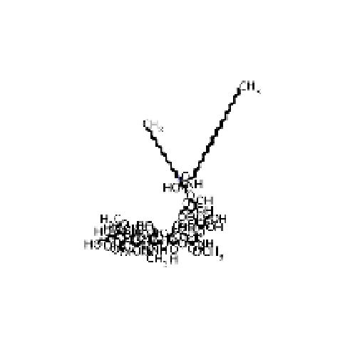 CCCCCCCCCCCCC/C=C/[C@@H](O)[C@H](CO[C@@H]1OC(CO)[C@@H](O[C@@H]2OC(CO)[C@H](O)[C@H](O[C@@H]3OC(CO)[C@@H](O[C@@H]4OC(CO)[C@H](O)[C@H](O[C@@H]5OC(CO)[C@@H](O)[C@H](O[C@@H]6OC(CO)[C@H](O)[C@H](O[C@]7(C(=O)O)CC(O)[C@@H](NC(C)=O)C([C@H](O)[C@H](O)CO)O7)C6O)C5NC(C)=O)C4O)[C@H](O)C3NC(C)=O)C2O)[C@H](O)C1O)NC(=O)CCCCCCCCCCCCCCCCCCCCCCC